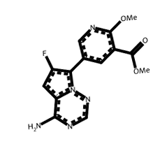 COC(=O)c1cc(-c2c(F)cc3c(N)ncnn23)cnc1OC